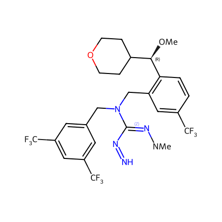 CN/N=C(\N=N)N(Cc1cc(C(F)(F)F)cc(C(F)(F)F)c1)Cc1cc(C(F)(F)F)ccc1[C@H](OC)C1CCOCC1